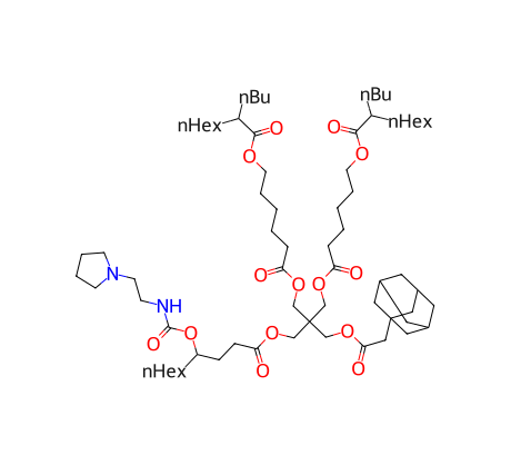 CCCCCCC(CCC(=O)OCC(COC(=O)CCCCCOC(=O)C(CCCC)CCCCCC)(COC(=O)CCCCCOC(=O)C(CCCC)CCCCCC)COC(=O)CC12CC3CC(CC(C3)C1)C2)OC(=O)NCCN1CCCC1